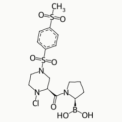 CS(=O)(=O)c1ccc(S(=O)(=O)N2CCN(Cl)[C@H](C(=O)N3CCC[C@H]3B(O)O)C2)cc1